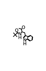 CC(=O)C(Cc1c[nH]c2ccccc12)NC(=O)C(C)(C)C